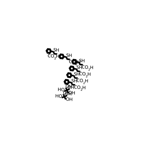 O=C(O)CCC(S)c1ccccc1.O=C(O)CCC(S)c1ccccc1.O=C(O)CCC(S)c1ccccc1.O=C(O)CCC(S)c1ccccc1.O=C(O)CCC(S)c1ccccc1.O=C(O)CCC(S)c1ccccc1.OCC(CO)(CO)CO.OCC(CO)(CO)CO